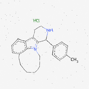 Cc1ccc(C2NCCc3c2n2c4c(cccc34)CCCCC2)cc1.Cl